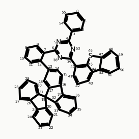 c1ccc(-c2nc(-c3ccccc3-c3ccc4c(c3)C3(c5ccccc5-c5ccccc53)c3ccccc3-4)nc(-c3cccc4c3sc3ccccc34)n2)cc1